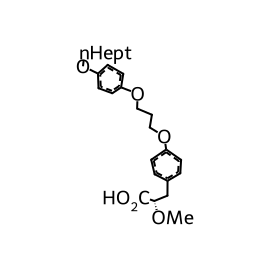 CCCCCCCOc1ccc(OCCCOc2ccc(C[C@H](OC)C(=O)O)cc2)cc1